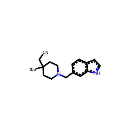 CC(C)(C)C1(CC#N)CCN(Cc2ccc3cc[nH]c3c2)CC1